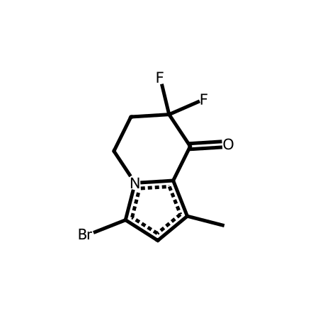 Cc1cc(Br)n2c1C(=O)C(F)(F)CC2